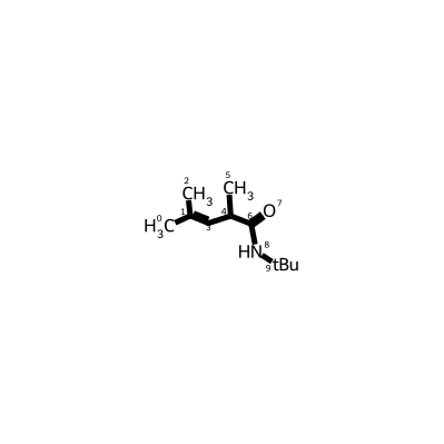 CC(C)=CC(C)C(=O)NC(C)(C)C